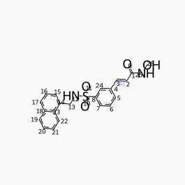 O=C(/C=C/c1cccc(S(=O)(=O)NCc2cccc3ccccc23)c1)NO